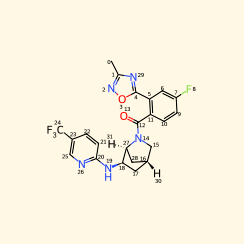 Cc1noc(-c2cc(F)ccc2C(=O)N2C[C@@H]3C[C@@H](Nc4ccc(C(F)(F)F)cn4)[C@@H]2C3)n1